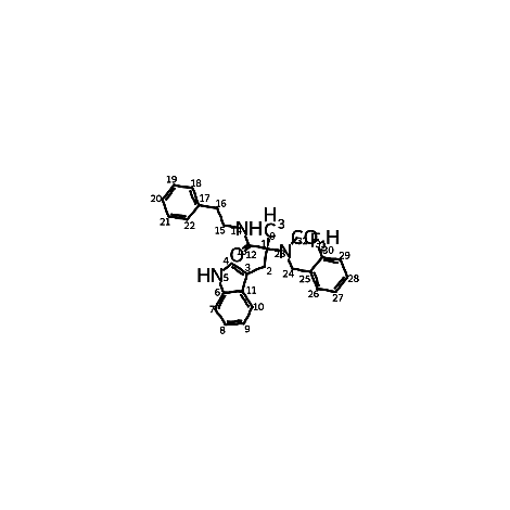 C[C@@](Cc1c[nH]c2ccccc12)(C(=O)NCCc1ccccc1)N(Cc1ccccc1F)C(=O)O